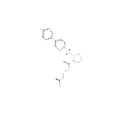 COc1ccc(-c2ccc(S(=O)(=O)N3CCC[C@H]3C(=O)NNCC(N)=O)cc2)cc1